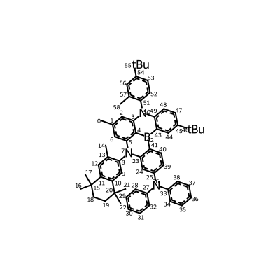 Cc1cc2c3c(c1)N(c1cc4c(cc1C)C(C)(C)CCC4(C)C)c1cc(N(c4ccccc4)c4ccccc4)ccc1B3c1cc(C(C)(C)C)ccc1N2c1ccc(C(C)(C)C)cc1C